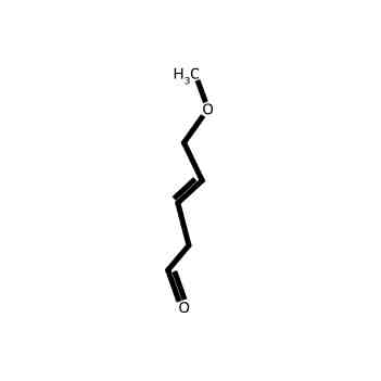 COCC=CCC=O